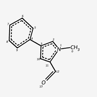 Cn1cc(-c2ccccc2)cc1C=O